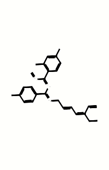 C=C/C(=C\C=C\C/N=C(\N=C(/N=C)c1ccc(C)cc1C)c1ccc(C)cc1)CC